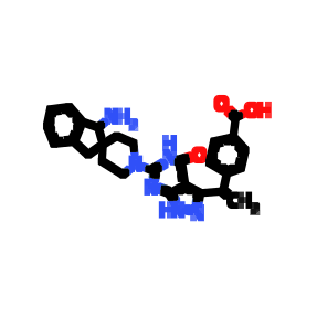 C=C(c1ccc(C(=O)O)cc1)c1n[nH]c2nc(N3CCC4(CC3)Cc3ccccc3C4N)[nH]c(=O)c12